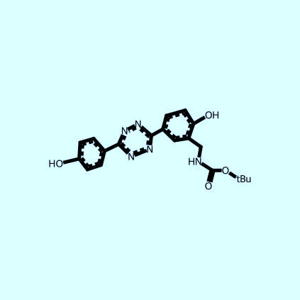 CC(C)(C)OC(=O)NCc1cc(-c2nnc(-c3ccc(O)cc3)nn2)ccc1O